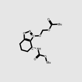 CC(C)(C)OC(=O)N[C@@H]1CCCc2on[13c](OCOC(=O)C(C)(C)C)c21